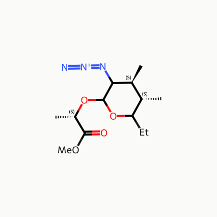 CCC1OC(O[C@@H](C)C(=O)OC)C(N=[N+]=[N-])[C@@H](C)[C@@H]1C